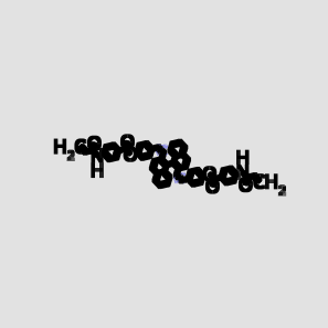 C=CC(=O)Nc1ccc(C(=O)Oc2ccc(/C=C\c3ccc4ccccc4c3-c3c(/C=C\c4ccc(OC(=O)c5ccc(NC(=O)C=C)cc5)cc4)ccc4ccccc34)cc2)cc1